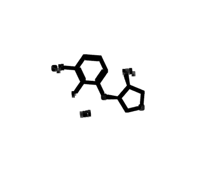 Cl.N[C@H]1COC[C@H]1Oc1cccc([N+](=O)[O-])c1F